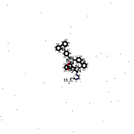 C=C/C=C\C=C\c1nc(-c2cccc3sc4ccc(-c5nc(-c6ccccc6)nc(-c6ccc(-n7c8ccccc8c8ccccc87)cc6)n5)cc4c23)nc2c1sc1ccccc12